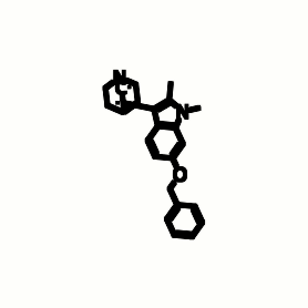 Cc1c([C]2[CH]N3CCC2CC3)c2ccc(OCc3ccccc3)cc2n1C